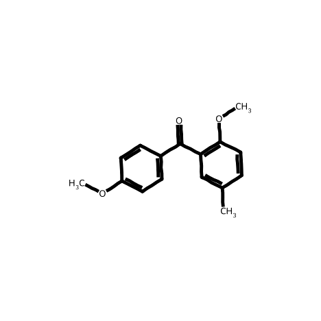 COc1ccc(C(=O)c2cc(C)ccc2OC)cc1